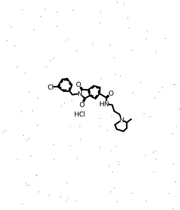 CC1CCCCN1CCCNC(=O)c1ccc2c(c1)C(=O)N(Cc1cccc(Cl)c1)C2=O.Cl